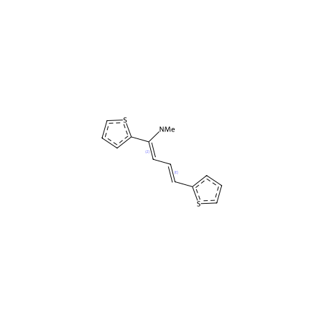 CN/C(=C\C=C\c1cccs1)c1cccs1